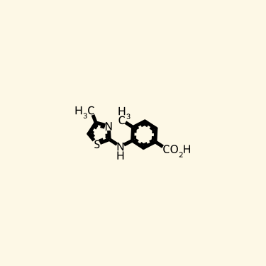 Cc1csc(Nc2cc(C(=O)O)ccc2C)n1